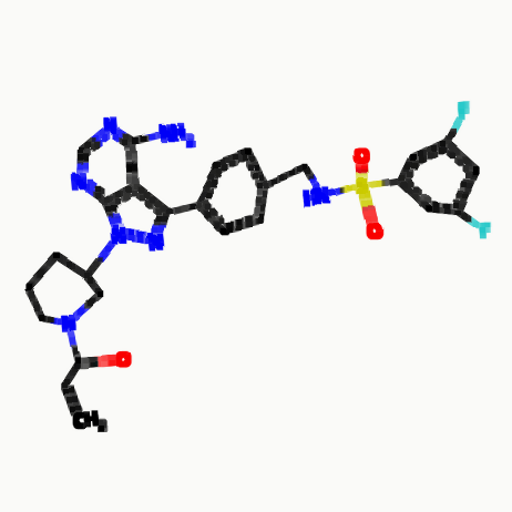 C=CC(=O)N1CCCC(n2nc(-c3ccc(CNS(=O)(=O)c4cc(F)cc(F)c4)cc3)c3c(N)ncnc32)C1